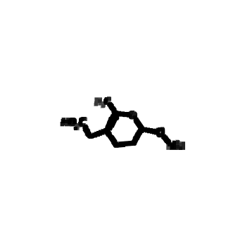 CCCCOC1CCC(CC(=O)O)=C(C)O1